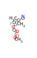 COC(=O)C[C@@H]1COc2cc(O[C@@H]3CCc4c(-c5c(C)cc(-c6cccnc6)cc5C)ccc(F)c43)ccc21